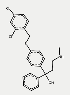 CNCCC(O)(c1ccccc1)c1ccc(SCc2ccc(Cl)cc2Cl)cc1